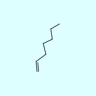 C=CC[CH]C[CH]C